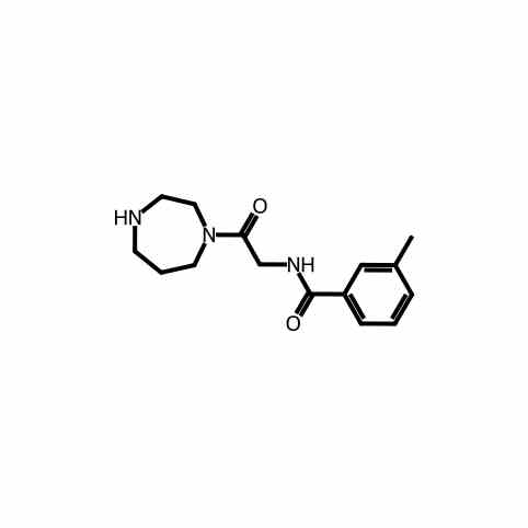 Cc1cccc(C(=O)NCC(=O)N2CCCNCC2)c1